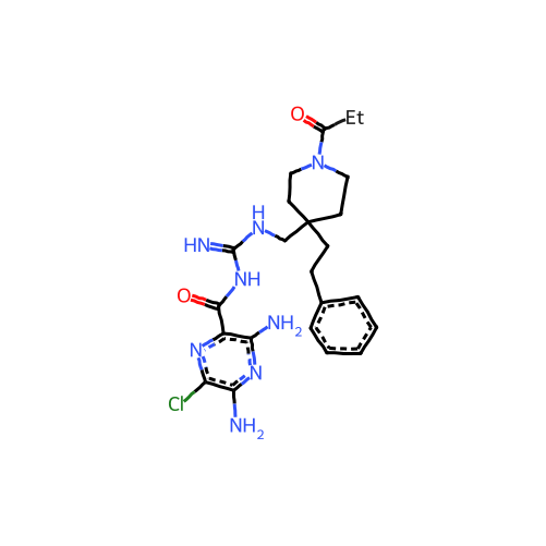 CCC(=O)N1CCC(CCc2ccccc2)(CNC(=N)NC(=O)c2nc(Cl)c(N)nc2N)CC1